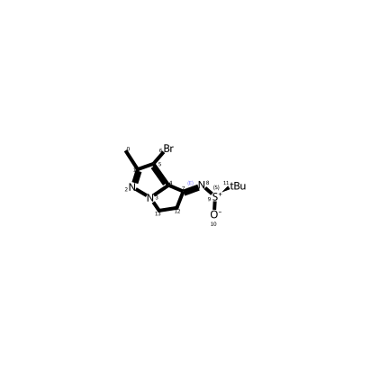 Cc1nn2c(c1Br)/C(=N/[S@+]([O-])C(C)(C)C)CC2